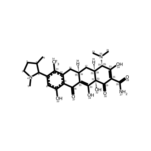 CC1CCN(C)C1c1cc(O)c2c(c1C(F)(F)F)C[C@H]1C[C@H]3[C@H](N(C)C)C(O)=C(C(N)=O)C(=O)[C@@]3(O)C(O)=C1C2=O